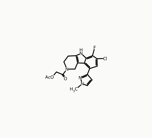 CC(=O)OCC(=O)N1CCc2[nH]c3c(F)c(Cl)cc(-c4ccn(C)n4)c3c2C1